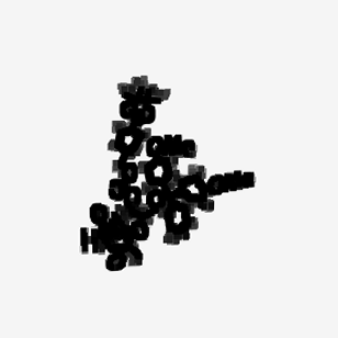 COc1ccc(C(OC[C@@H](OC)[C@H](Cn2cc(C)c(=O)[nH]c2=O)OC(=O)OCc2ccc(B3OC(C)(C)C(C)(C)O3)cc2)(c2ccccc2)c2ccc(OC)cc2)cc1